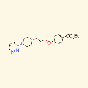 CCOC(=O)c1ccc(OCCCC2CCN(c3cccnn3)CC2)cc1